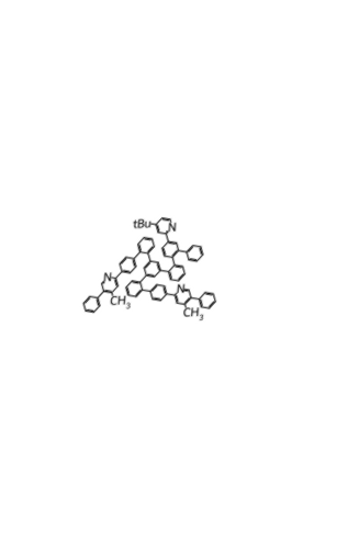 Cc1cc(-c2ccc(-c3ccccc3-c3cc(-c4ccccc4-c4ccc(-c5cc(C)c(-c6ccccc6)cn5)cc4)cc(-c4ccccc4-c4ccc(-c5cc(C(C)(C)C)ccn5)cc4-c4ccccc4)c3)cc2)ncc1-c1ccccc1